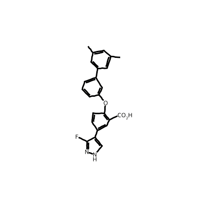 Cc1cc(C)cc(-c2cccc(Oc3ccc(-c4c[nH]nc4F)cc3C(=O)O)c2)c1